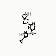 c1cc(Nc2cc(C3CC3)[nH]n2)nc(N2CC[C@]3(CCNC3)C2)n1